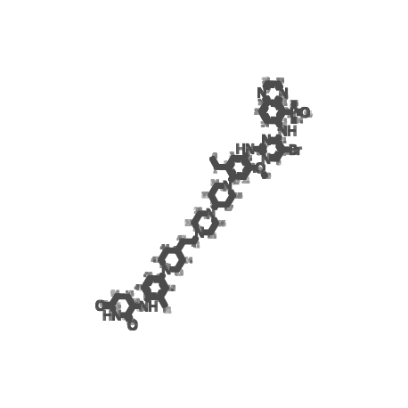 CCc1cc(Nc2ncc(Br)c(Nc3ccc4nccnc4c3P(C)(C)=O)n2)c(OC)cc1N1CCC(N2CCN(CCC3CCN(c4ccc(NC5CCC(=O)NC5=O)c(C)c4)CC3)CC2)CC1